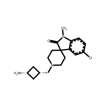 CN1C(=O)C2(CCN(C[C@H]3C[C@@H](N)C3)CC2)c2cc(Cl)ccc21